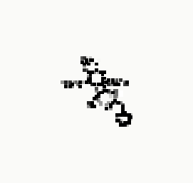 COC12SCC(COC(C)=O)=C(C(=O)[O-])N1C(=O)C2NC(=O)Cc1cccs1.[Na+]